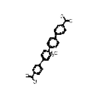 O.O=C(Cl)c1ccc(-c2ccc(-c3ccc(-c4ccc(C(=O)Cl)cc4)cc3)cc2)cc1